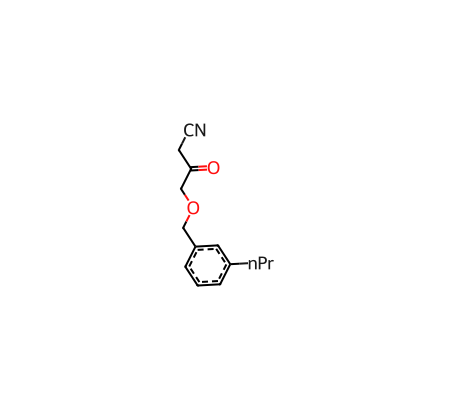 CCCc1cccc(COCC(=O)CC#N)c1